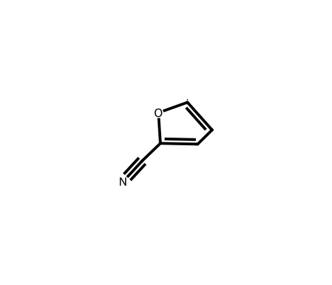 N#Cc1cc[c]o1